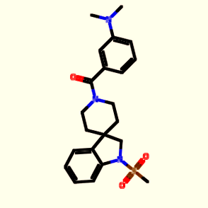 CN(C)c1cccc(C(=O)N2CCC3(CC2)CN(S(C)(=O)=O)c2ccccc23)c1